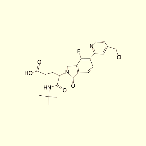 CC(C)(C)NC(=O)C(CCC(=O)O)N1Cc2c(ccc(-c3cc(CCl)ccn3)c2F)C1=O